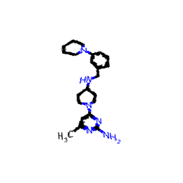 Cc1cc(N2CCC(NCc3cccc(N4CCCCC4)c3)CC2)nc(N)n1